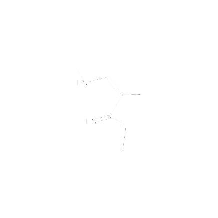 CN/C=C(/C)C(=N)OC